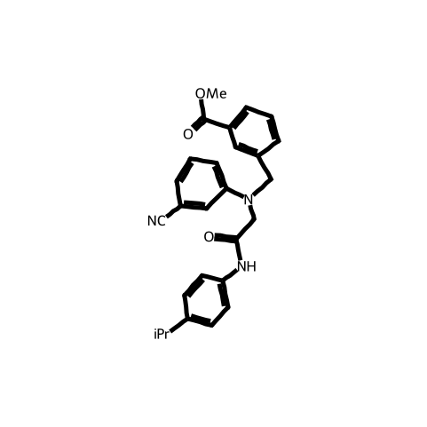 COC(=O)c1cccc(CN(CC(=O)Nc2ccc(C(C)C)cc2)c2cccc(C#N)c2)c1